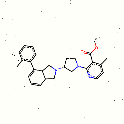 Cc1ccccc1C1=CC=CC2CN([C@@H]3CCN(c4nccc(C)c4C(=O)OC(C)C)C3)CC12